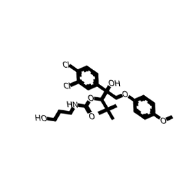 COc1ccc(OCC(O)(c2ccc(Cl)c(Cl)c2)C(OC(=O)NCCCO)C(C)(C)C)cc1